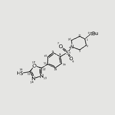 CC(C)(C)C1CCN(S(=O)(=O)c2ccc(-c3nnc(S)o3)cc2)CC1